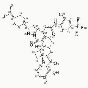 CCc1c(N2CCN(C(=O)c3ncnc(C)c3O)[C@@H]3CC[C@H]32)c(=O)n2nc(C3=CCC(=C(F)F)CC3)nc2n1CC(=O)Nc1ccc(C(F)(F)F)cc1Cl